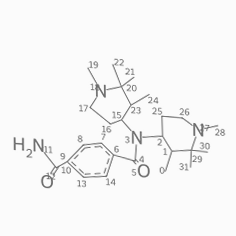 CC1C(N(C(=O)c2ccc(C(N)=O)cc2)C2CCN(C)C(C)(C)C2C)CCN(C)C1(C)C